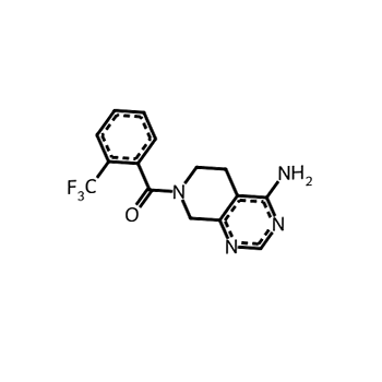 Nc1ncnc2c1CCN(C(=O)c1ccccc1C(F)(F)F)C2